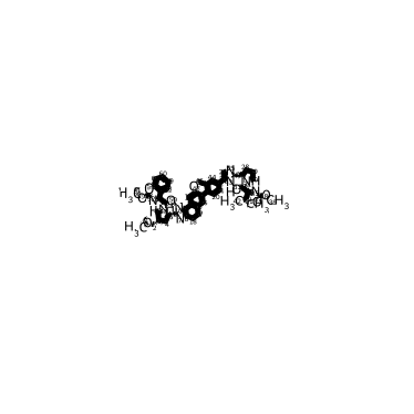 COC[C@H]1C[C@@H](c2nc3c([nH]2)-c2cc4c(cc2CC3)-c2ccc(-c3cnc([C@@H]5CCCN5C(=O)C(NC(=O)OC)C(C)C)[nH]3)cc2CO4)N(C(=O)[C@H](NC(=O)OC)c2ccccc2)C1